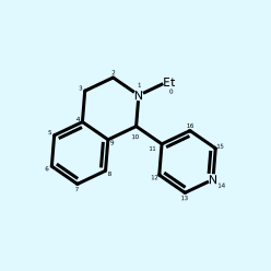 CCN1CCc2ccccc2C1c1ccncc1